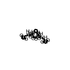 O=C(NCCN1C(=O)CCC1=O)OC1N[C@@H]2CCCC[C@H]2NC(OC(=O)NCCN2C(=O)CCC2=O)OC(=O)C(=O)O1